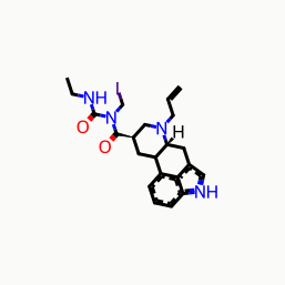 C=CCN1C[C@H](C(=O)N(CI)C(=O)NCC)CC2c3cccc4[nH]cc(c34)C[C@H]21